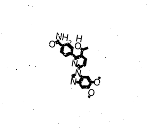 COc1cc2ncn(-c3ccc(C(C)O)c(-c4ccc(C(N)=O)cc4)n3)c2cc1OC